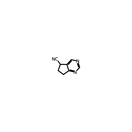 N#CC1CCc2ncncc21